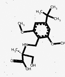 COc1cc(C(C)(C)C)cc(OC)c1CN[C@@](C)(CO)C(=O)O